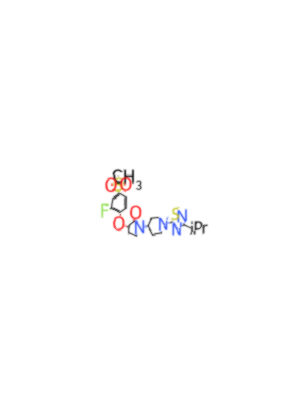 CC(C)c1nsc(N2CCC(N3CCC(Oc4ccc(S(C)(=O)=O)cc4F)C3=O)CC2)n1